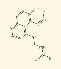 C/C=C\c1c(Cl)ccc2cccc(CCNC(C)=O)c12